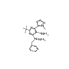 Cn1nccc1-c1nc(C(C)(C)C)nc(N(N)Cc2ccccc2)c1N